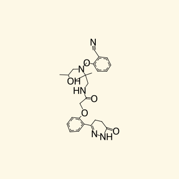 CC(O)CN(Oc1ccccc1C#N)C(C)(C)CNC(=O)COc1ccccc1C1=NNC(=O)CC1